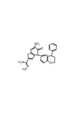 NC(=NO)c1cc2c(nc(N)c(=O)n2-c2ccc3c(c2)N(c2ccccc2)CCO3)s1